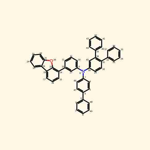 c1ccc(-c2ccc(N(c3cccc(-c4cccc5c4oc4ccccc45)c3)c3ccc(-c4ccccc4)c(-c4ccccc4)c3)cc2)cc1